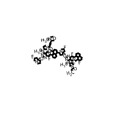 C#Cc1c(F)ccc2cccc(-c3ncc4c(N(C)[C@@H]5CCN(C(=O)C=C)C5)nc(OC[C@@]56CCC(c7ccc(Cl)c8c(-c9ncc%10c(N(C)[C@@H]%11CCN(C(=O)C#CC%12COCCN%12C)C%11)nc(OC[C@@]%11%12CCCN%11C[C@H](F)C%12)nc%10c9F)cccc78)N5C[C@H](F)C6)nc4c3F)c12